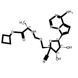 C[C@H](NCOC[C@@]1(C#N)O[C@@H](c2ccc3c(N)ncnn23)[C@H](O)[C@@H]1O)C(=O)OC1CCC1